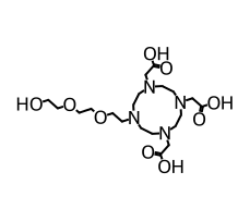 O=C(O)CN1CCN(CCOCCOCCO)CCN(CC(=O)O)CCN(CC(=O)O)CC1